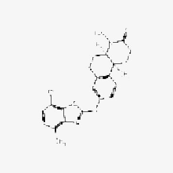 Cc1ccc(C(F)(F)F)c2sc(Sc3ccc4c(c3)CC[C@H]3N(C)C(=O)CC[C@]43C)nc12